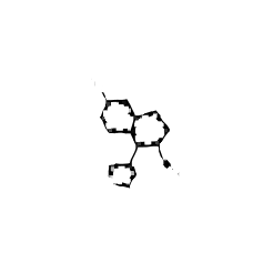 N#Cc1ccc2cc(O)ccc2c1-c1ccoc1